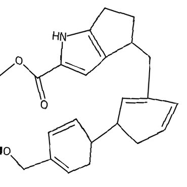 COC(=O)c1cc2c([nH]1)CCC2CC1=CC(C2C=CC(CO)=CC2)CC=C1